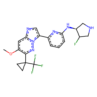 COc1cc2ncc(-c3cccc(N[C@H]4CNCC4F)n3)n2nc1C1(C(F)(F)F)CC1